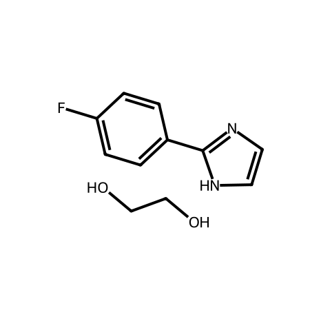 Fc1ccc(-c2ncc[nH]2)cc1.OCCO